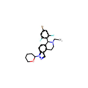 Fc1cc(Br)cc(F)c1C1c2ccc3c(cnn3C3CCCCO3)c2CCN1CC(F)(F)F